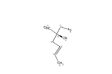 C/C=C/C[C@](C#N)(C=O)CC(C)=O